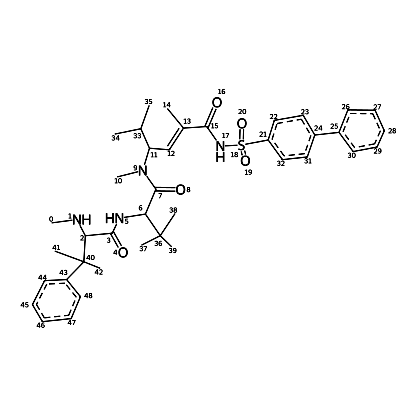 CNC(C(=O)NC(C(=O)N(C)C(C=C(C)C(=O)NS(=O)(=O)c1ccc(-c2ccccc2)cc1)C(C)C)C(C)(C)C)C(C)(C)c1ccccc1